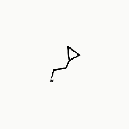 [CH2]C(=O)CCC1CC1